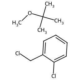 COC(C)(C)C.ClCc1ccccc1Cl